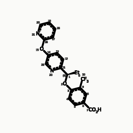 CC[C@@H](Oc1ccc(C(=O)O)cc1C(F)(F)F)c1ccc(Oc2ccccn2)cn1